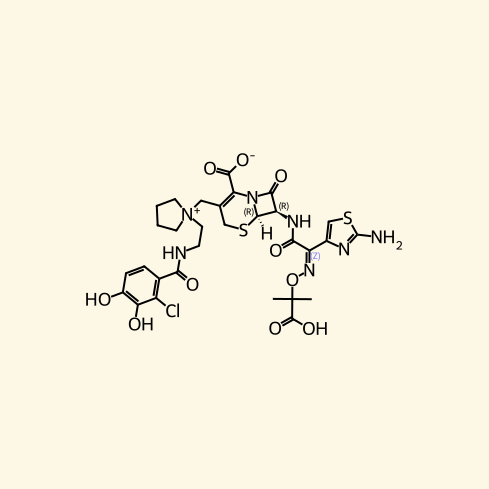 CC(C)(O/N=C(\C(=O)N[C@@H]1C(=O)N2C(C(=O)[O-])=C(C[N+]3(CCNC(=O)c4ccc(O)c(O)c4Cl)CCCC3)CS[C@H]12)c1csc(N)n1)C(=O)O